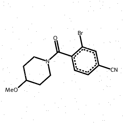 COC1CCN(C(=O)c2ccc(C#N)cc2Br)CC1